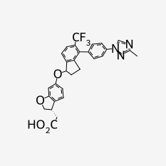 Cc1ncn(-c2ccc(-c3c(C(F)(F)F)ccc4c3CCC4Oc3ccc4c(c3)OC[C@H]4CC(=O)O)cc2)n1